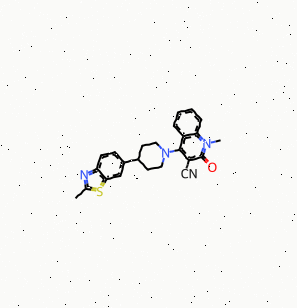 Cc1nc2ccc(C3CCN(c4c(C#N)c(=O)n(C)c5ccccc45)CC3)cc2s1